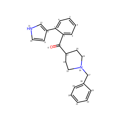 O=C(c1ccccc1-c1cc[nH]c1)C1CCN(Cc2ccccc2)CC1